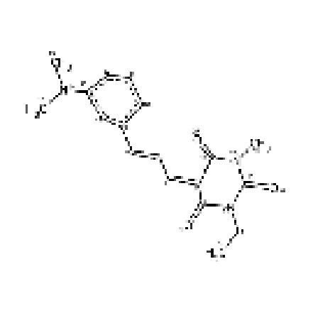 CCN1C(=O)/C(=C/C=C/c2cccc(N(C)C)c2)C(=O)N(C)C1=O